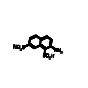 Nc1ccc2ccc(S(=O)(=O)O)cc2c1S(=O)(=O)O